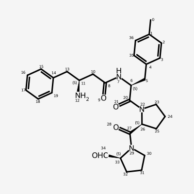 Cc1ccc(C[C@H](NC(=O)C[C@@H](N)Cc2ccccc2)C(=O)N2CCC[C@H]2C(=O)N2CCC[C@H]2C=O)cc1